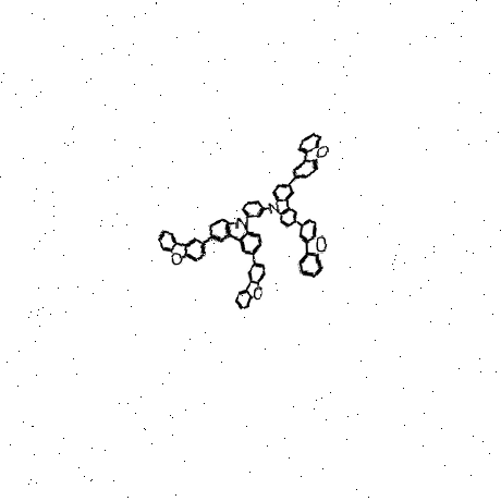 c1cc(-n2c3ccc(-c4ccc5oc6ccccc6c5c4)cc3c3cc(-c4ccc5oc6ccccc6c5c4)ccc32)cc(-n2c3ccc(-c4ccc5oc6ccccc6c5c4)cc3c3cc(-c4ccc5oc6ccccc6c5c4)ccc32)c1